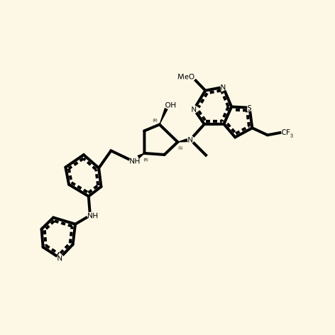 COc1nc(N(C)[C@H]2C[C@@H](NCc3cccc(Nc4cccnc4)c3)C[C@H]2O)c2cc(CC(F)(F)F)sc2n1